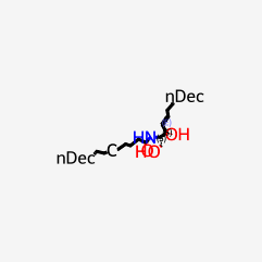 CCCCCCCCCCCC/C=C/[C@H](O)[C@H](CO)NC(=O)CCCCCCCCCCCCCCCCC